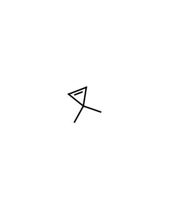 CC1(C)C=C1